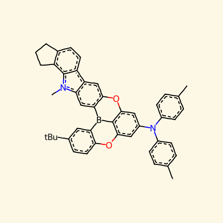 Cc1ccc(N(c2ccc(C)cc2)c2cc3c4c(c2)Oc2cc5c6ccc7c(c6n(C)c5cc2B4c2cc(C(C)(C)C)ccc2O3)CCC7)cc1